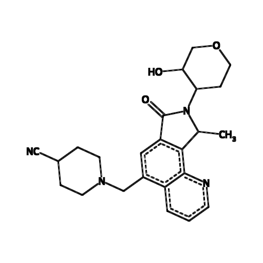 CC1c2c(cc(CN3CCC(C#N)CC3)c3cccnc23)C(=O)N1C1CCOCC1O